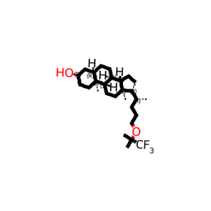 C[C@H](CCCOC(C)(C)C(F)(F)F)[C@H]1CC[C@H]2[C@@H]3CC[C@@H]4C[C@H](O)CC[C@]4(C)[C@H]3CC[C@]12C